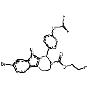 O=C(OCCF)N1CCc2c([nH]c3cc(Br)ccc23)C1c1ccc(OC(F)F)cc1